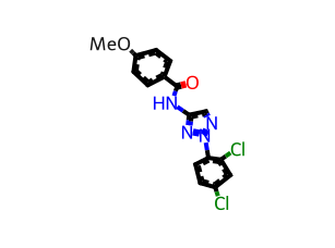 COc1ccc(C(=O)Nc2cnn(-c3ccc(Cl)cc3Cl)n2)cc1